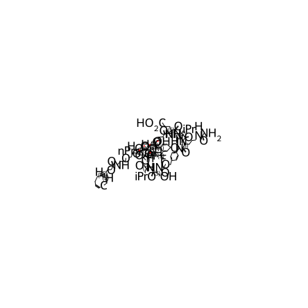 CCCC1OC2C[C@H]3[C@@H]4C[C@H](F)C5=CC(=O)C=C[C@]5(C)[C@@]4(F)[C@@H](O)C[C@]3(C)[C@]2(C(=O)COC(=O)[C@H](CC(C)C)NC(=O)[C@H](CO)NC(=O)OCc2ccc(NC(=O)[C@H](CCCNC(N)=O)NC(=O)[C@@H](NC(=O)[C@H](CCC(=O)O)NC(=O)CCOCCOCCOCCOCCNC(=O)OC[C@@H]3[C@@H]4CCC#CCC[C@@H]43)C(C)C)cc2)O1